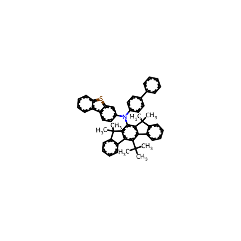 CC(C)(C)c1c2c(c(N(c3ccc(-c4ccccc4)cc3)c3ccc4c(c3)sc3ccccc34)c3c1-c1ccccc1C3(C)C)C(C)(C)c1ccccc1-2